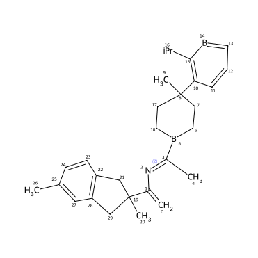 C=C(/N=C(\C)B1CCC(C)(c2cccbc2C(C)C)CC1)C1(C)Cc2ccc(C)cc2C1